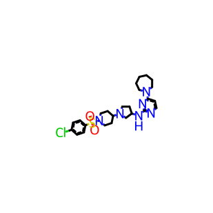 O=S(=O)(c1ccc(Cl)cc1)N1CCC(N2CCC(Nc3nccc(N4CCCCCC4)n3)C2)CC1